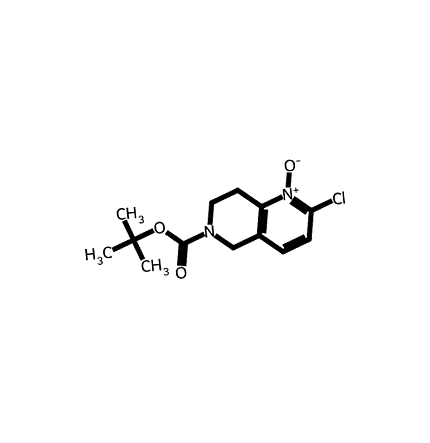 CC(C)(C)OC(=O)N1CCc2c(ccc(Cl)[n+]2[O-])C1